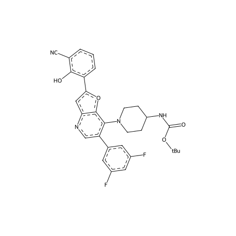 CC(C)(C)OC(=O)NC1CCN(c2c(-c3cc(F)cc(F)c3)cnc3cc(-c4cccc(C#N)c4O)oc23)CC1